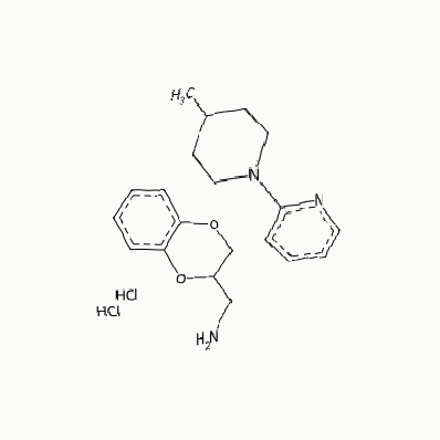 CC1CCN(c2ccccn2)CC1.Cl.Cl.NCC1COc2ccccc2O1